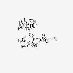 CCCCC1(CC)CN(c2ccc(C(=O)NC(C)(C)C)cc2)c2cc(SC)c(O)cc2S(=O)(=O)C1